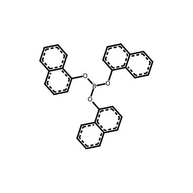 c1ccc2c(OB(Oc3cccc4ccccc34)Oc3cccc4ccccc34)cccc2c1